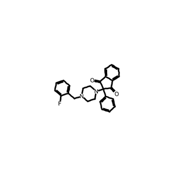 O=C1c2ccccc2C(=O)C1(c1ccccc1)N1CCN(Cc2ccccc2F)CC1